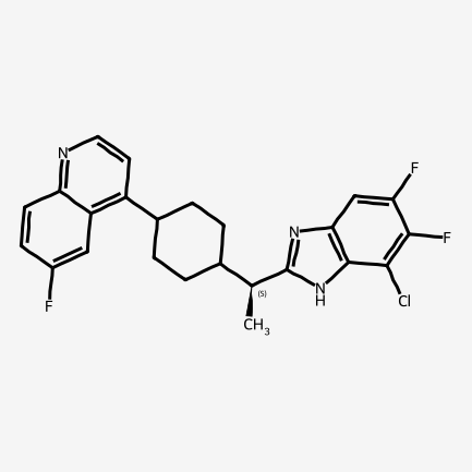 C[C@H](c1nc2cc(F)c(F)c(Cl)c2[nH]1)C1CCC(c2ccnc3ccc(F)cc23)CC1